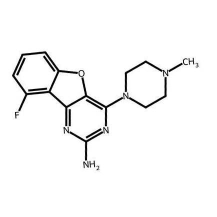 CN1CCN(c2nc(N)nc3c2oc2cccc(F)c23)CC1